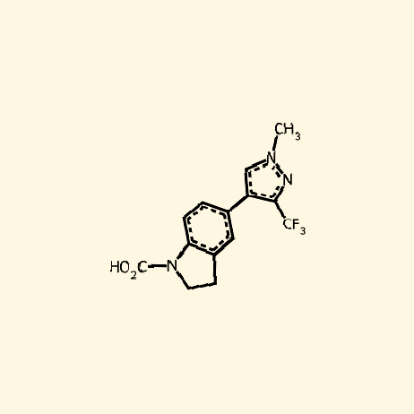 Cn1cc(-c2ccc3c(c2)CCN3C(=O)O)c(C(F)(F)F)n1